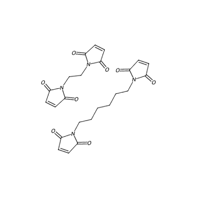 O=C1C=CC(=O)N1CCCCCCN1C(=O)C=CC1=O.O=C1C=CC(=O)N1CCN1C(=O)C=CC1=O